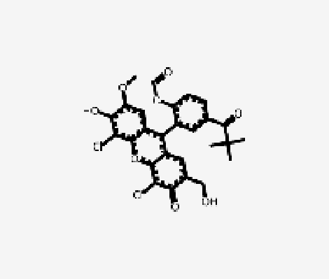 COc1cc2c(-c3cc(C(=O)C(C)(C)C)ccc3OC=O)c3cc(CO)c(=O)c(Cl)c-3oc2c(Cl)c1O